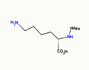 CCCCCCN[C@@H](CCCCN)C(=O)O